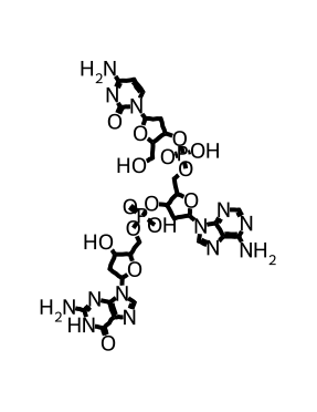 Nc1ccn(C2CC(OP(=O)(O)OCC3OC(n4cnc5c(N)ncnc54)CC3OP(=O)(O)OCC3OC(n4cnc5c(=O)[nH]c(N)nc54)CC3O)C(CO)O2)c(=O)n1